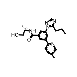 CCCc1ncnn1-c1cc(C(=O)N[C@@H](C)CO)cc(-c2ccc(C)cn2)c1